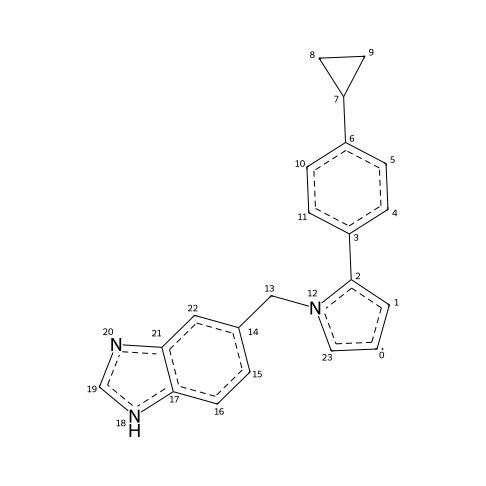 [c]1cc(-c2ccc(C3CC3)cc2)n(Cc2ccc3[nH]cnc3c2)c1